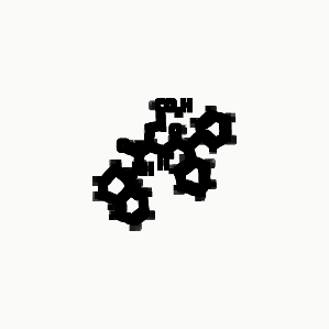 O=C(O)CCC(NC(=O)C(c1ccccc1)c1ccccc1)C(=O)NC1CCCc2ccccc21